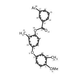 COc1ccc(Oc2ccc(OC(=O)c3cccc(C(C)=O)c3)c(C)c2)cc1C